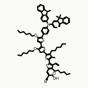 C=Cc1c(-c2sc(C3CC(OCCCCCC)=C(c4cc(OCCCCCC)c(-c5ccc(N(C(/C=C6\C(=C)c7ccccc7C6(C)C)=C/C)c6ccc7c(c6)C(C)c6ccccc6-7)cc5)s4)S3)c(CCCCCC)c2C)sc(/C=C(/C#N)C(=O)O)c1CCCCCC